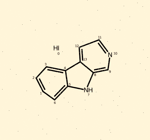 I.c1ccc2c(c1)[nH]c1cnccc12